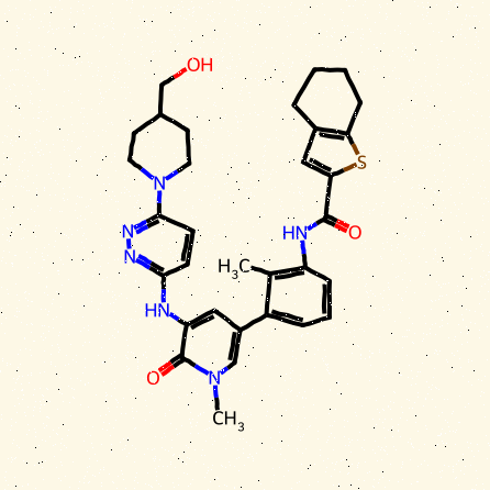 Cc1c(NC(=O)c2cc3c(s2)CCCC3)cccc1-c1cc(Nc2ccc(N3CCC(CO)CC3)nn2)c(=O)n(C)c1